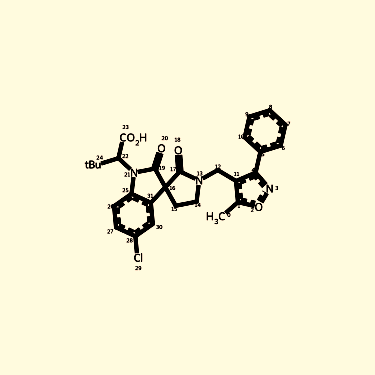 Cc1onc(-c2ccccc2)c1CN1CCC2(C1=O)C(=O)N(C(C(=O)O)C(C)(C)C)c1ccc(Cl)cc12